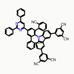 N#Cc1cc(C#N)cc(-c2ccc3c(c2)c2cc(-c4cc(C#N)cc(C#N)c4)ccc2n3-c2c(-c3ccccc3C#N)cc(-c3cc(-c4ccccc4)nc(-c4ccccc4)n3)cc2-c2ccccc2C#N)c1